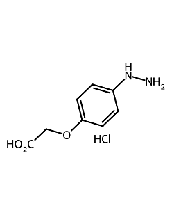 Cl.NNc1ccc(OCC(=O)O)cc1